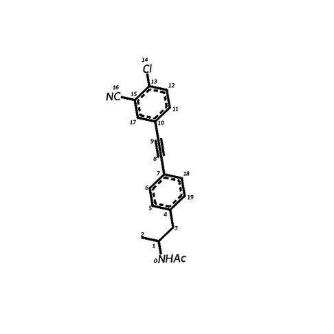 CC(=O)NC(C)Cc1ccc(C#Cc2ccc(Cl)c(C#N)c2)cc1